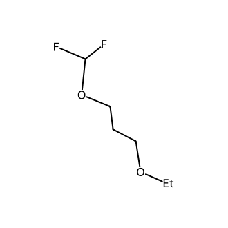 CCOCCCOC(F)F